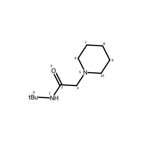 CC(C)(C)NC(=O)CN1CCCCC1